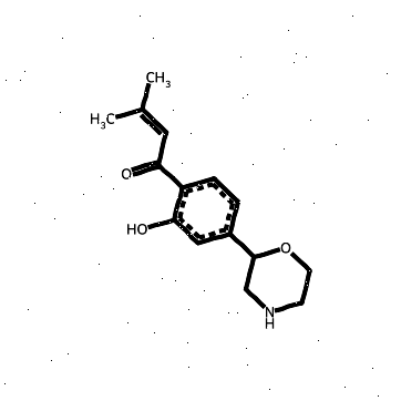 CC(C)=CC(=O)c1ccc(C2CNCCO2)cc1O